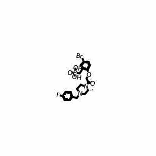 C[C@@H]1CN(Cc2ccc(F)cc2)CCN1C(=O)COc1ccc(Br)cc1CP(=O)(O)O